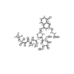 CC[C@@H]1C[C@]1(NC(=O)[C@@H]1C[C@@H](Oc2cc(OCCOC)nc3c(Cl)cccc23)CN1C(=O)[C@@H](NC(=O)OC(C)(C)C)C(C)(C)C)C(=O)NS(=O)(=O)OC1(C)CC1